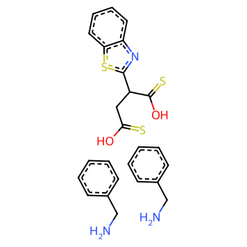 NCc1ccccc1.NCc1ccccc1.OC(=S)CC(C(O)=S)c1nc2ccccc2s1